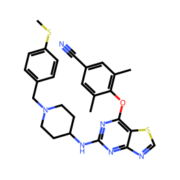 CSc1ccc(CN2CCC(Nc3nc(Oc4c(C)cc(C#N)cc4C)c4scnc4n3)CC2)cc1